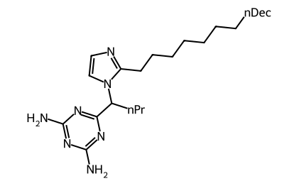 CCCCCCCCCCCCCCCCCc1nccn1C(CCC)c1nc(N)nc(N)n1